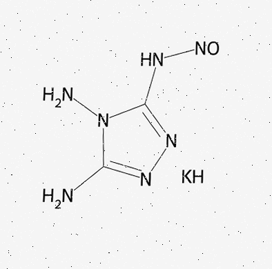 Nc1nnc(NN=O)n1N.[KH]